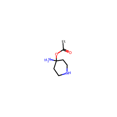 CCC(=O)OC1(N)CCNCC1